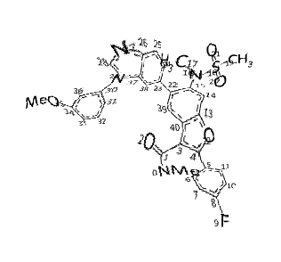 CNC(=O)c1c(-c2ccc(F)cc2)oc2cc(N(C)S(C)(=O)=O)c(-c3ccc4ncn(-c5cccc(OC)c5)c4c3)cc12